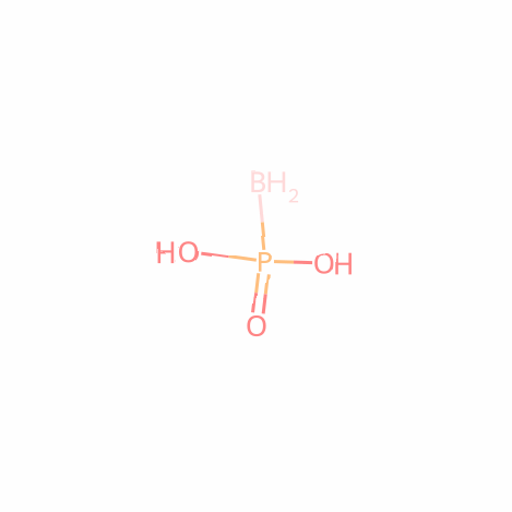 BP(=O)(O)O